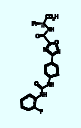 CC(C)[C@H](NC(=O)c1nc(-c2ccc(NC(=O)Nc3ccccc3F)cc2)no1)C(=O)O